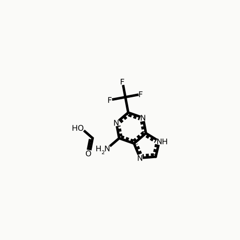 Nc1nc(C(F)(F)F)nc2[nH]cnc12.O=CO